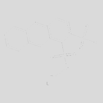 COS(=O)(=O)c1c(S(=O)(=O)[O-])ccc2cc3ccccc3cc12.[Li+]